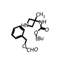 CC1(NC(=O)OC(C)(C)C)CNC1.O=COCc1ccccc1